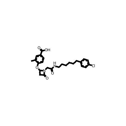 Cc1cc(C(=O)O)ccc1OC1CC(=O)N1CC(=O)NCCCCCCc1ccc(Cl)cc1